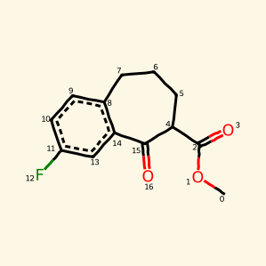 COC(=O)C1CCCc2ccc(F)cc2C1=O